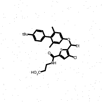 CCC(Oc1cc(C)c(-c2ccc(C(C)(C)C)cc2)c(C)c1)c1sc(C(=O)NCCC(=O)O)cc1Cl